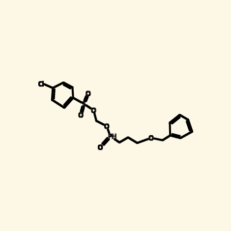 O=[PH](CCCOCc1ccccc1)OCOS(=O)(=O)c1ccc(Cl)cc1